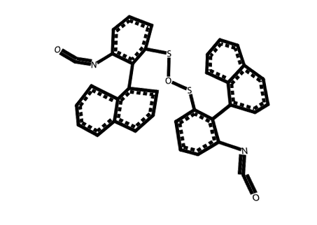 O=C=Nc1cccc(SOSc2cccc(N=C=O)c2-c2cccc3ccccc23)c1-c1cccc2ccccc12